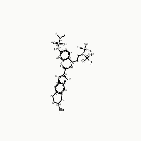 [2H]C([2H])([2H])N(CC[C@@H](NC(=O)c1nc2cc3c(nc2s1)CC[C@H](C(C)(C)C)C3)c1ccc(NS(=O)(=O)N(C)C)nc1)C([2H])([2H])[2H]